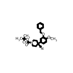 COc1ccc(C2(C#N)CCN(C(=O)OC(C)(C)C)CC2)cc1OCc1ccccc1